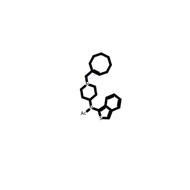 CC(=O)N(c1scc2ccccc12)C1CCN(C/C2=C/CCCCCC2)CC1